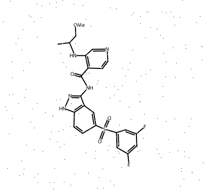 COCC(C)Nc1cnccc1C(=O)Nc1n[nH]c2ccc(S(=O)(=O)c3cc(F)cc(F)c3)cc12